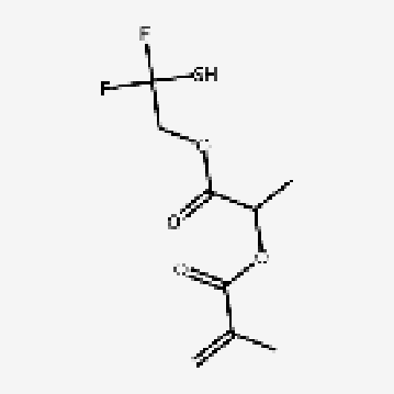 C=C(C)C(=O)OC(C)C(=O)OCC(F)(F)S